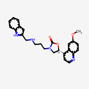 COc1ccc2nccc([C@@H]3CN(CCCNCc4cc5ccccc5[nH]4)C(=O)O3)c2c1